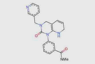 CNC(=O)c1cccc(N2C(=O)N(Cc3cccnc3)CC3=C2NCC=C3)c1